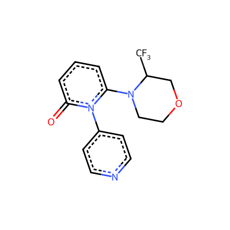 O=c1cccc(N2CCOCC2C(F)(F)F)n1-c1ccncc1